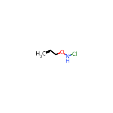 C=CCONCl